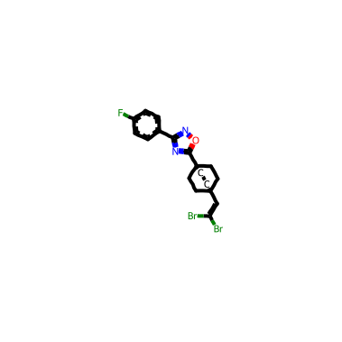 Fc1ccc(-c2noc(C34CCC(C=C(Br)Br)(CC3)CC4)n2)cc1